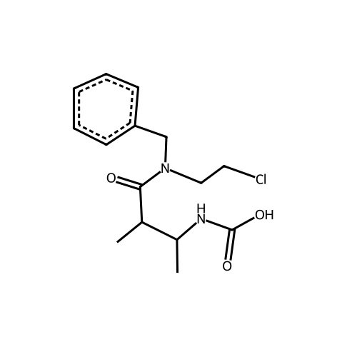 CC(NC(=O)O)C(C)C(=O)N(CCCl)Cc1ccccc1